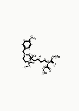 CCO[N+]1([O-])CCP(Cc2ccc(OC)cc2)CC1(CCCCN(C(=O)OC(C)(C)C)C(=O)OC(C)(C)C)C(=O)O